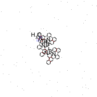 C=C(/C=C\C=C/C)c1cccc(-c2ccccc2)c1N1c2cc3c(cc2B2c4ccccc4N(c4c(-c5ccccc5)cccc4-c4ccccc4)c4cc(N5C6CC7CC(C6)CC5C7)cc1c42)B1c2ccccc2N(c2c(-c4ccccc4)cccc2-c2ccccc2)c2cc(-c4ccccc4)cc(c21)N3c1ccccc1